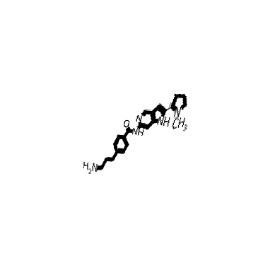 CN1CCC[C@H]1c1cc2cnc(NC(=O)c3ccc(CCCN)cc3)cc2[nH]1